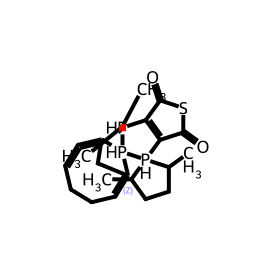 CC1CCC(C)[PH]12C1=C(C(=O)SC1=O)[PH]1(C(C)CCC1C)[PH]21C2=C=CCC/C=C\1C2